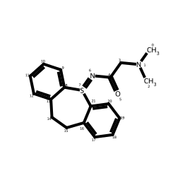 CN(C)CC(=O)N=S1c2ccccc2CCc2ccccc21